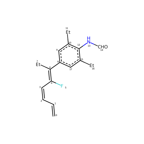 C=C/C=C\C(F)=C(/CC)c1cc(CC)c(NC=O)c(CC)c1